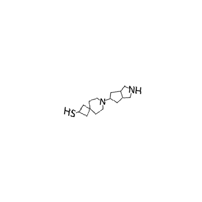 SC1CC2(CCN(C3CC4CNCC4C3)CC2)C1